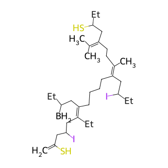 BC(CC)C/C(CCCC/C(CC(I)CC)=C(/C)CCC(CC(S)CC)=C(C)C)=C(/CC)CC(I)CC(=C)S